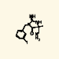 CC1(CN)NC(=N)N(Cc2cccc(I)c2)C1=O